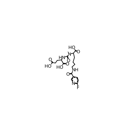 CN(C(=O)NC(CCC(=O)O)C(=O)O)C(CCCCNC(=O)c1ccc(F)nc1)C(=O)O